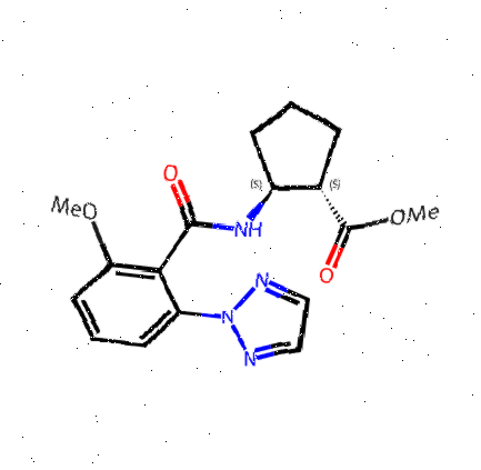 COC(=O)[C@H]1CCC[C@@H]1NC(=O)c1c(OC)cccc1-n1nccn1